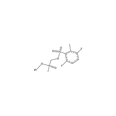 Cc1c(F)ccc(F)c1S(=O)(=O)OCP(C)(=O)OC(C)C